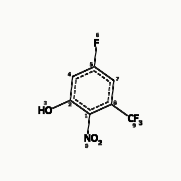 O=[N+]([O-])c1c(O)cc(F)cc1C(F)(F)F